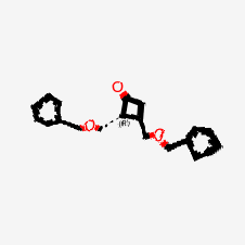 O=C1CC(COCc2ccccc2)[C@@H]1COCc1ccccc1